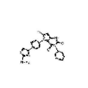 CC(=O)Nc1nc(-c2ccc(-n3c(Cl)cc4[nH]c(=O)n(-c5ccccc5)c(=O)c43)cc2)cs1